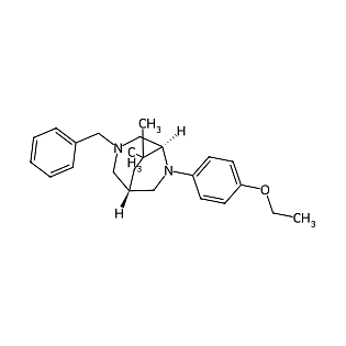 CCOc1ccc(N2C[C@@H]3CN(Cc4ccccc4)C[C@@H]2C(C)(C)C3)cc1